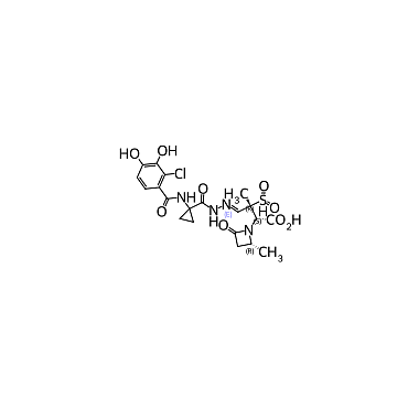 C[C@@H]1CC(=O)N1[C@@H](C(=O)O)[C@](C)(/C=N/NC(=O)C1(NC(=O)c2ccc(O)c(O)c2Cl)CC1)[SH](=O)=O